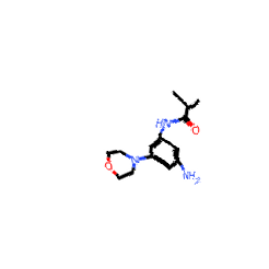 CC(C)C(=O)Nc1cc(N)cc(N2CCOCC2)c1